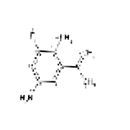 C=C(C)c1cc(N)cc(F)c1C